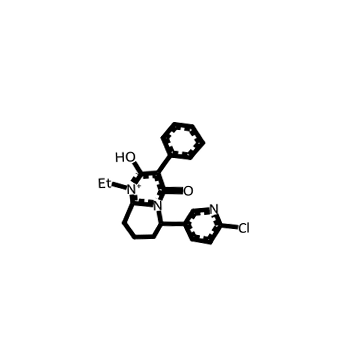 CC[n+]1c(O)c(-c2ccccc2)c(=O)n2c1CCCC2c1ccc(Cl)nc1